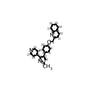 Cn1cc(-c2ccc(OCc3ccc4ccccc4n3)cc2)c(-c2ccncc2)n1